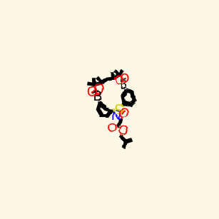 CC(C)COC(=O)CN=S1(=O)c2cccc(c2)B2OC(C)(C)C(C)(CC3(C)OB(OC3(C)C)c3cccc1c3)O2